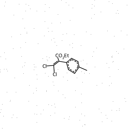 CCOC(=O)C(=C(Cl)Cl)c1ccc(C)cc1